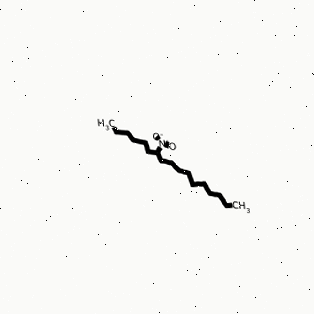 CCCCCCCCCCC(CCCCCC)[N+](=O)[O-]